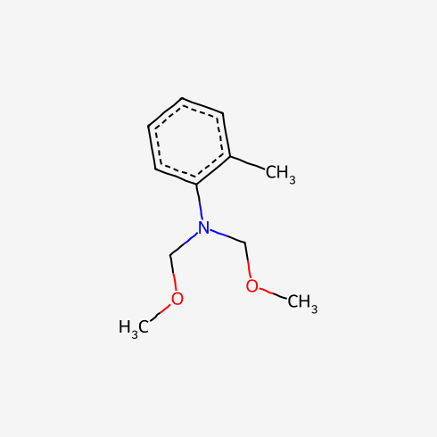 COCN(COC)c1ccccc1C